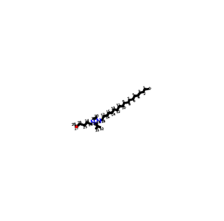 CCCCCCCCCCCCCCCCCCCN1C=CN(CCCCCC)C1C(C)C